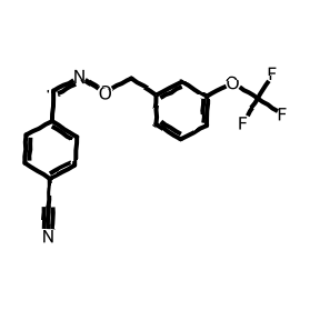 N#Cc1ccc(/[C]=N\OCc2cccc(OC(F)(F)F)c2)cc1